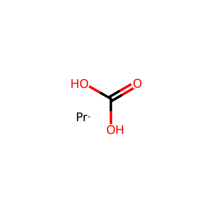 O=C(O)O.[Pr]